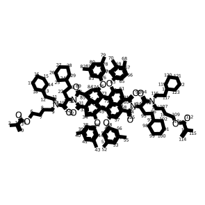 C=C(C)C(=O)OCCCCN(CCC1CCCCC1)C(=O)C(CCC1CCCCC1)N1C(=O)c2cc(Oc3cc(C)cc(C)c3)c3c4c(Oc5cc(C)cc(C)c5)cc5c6c(cc(Oc7ccc(C)c(C)c7)c(c7c(Oc8cc(C)cc(C)c8)cc(c2c37)C1=O)c64)C(=O)N(C(CCC1CCCCC1)C(=O)N(CCCCOC(=O)C(=C)C)CCC1CCCCC1)C5=O